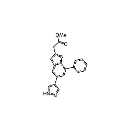 COC(=O)Cc1cn2cc(-c3cn[nH]c3)cc(-c3ccccc3)c2n1